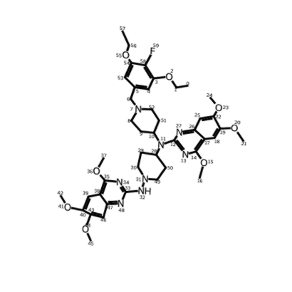 CCOc1cc(CN2CCC(N(c3nc(OC)c4cc(OC)c(OC)cc4n3)C3CCN(Nc4nc(OC)c5cc(OC)c(OC)cc5n4)CC3)CC2)cc(OCC)c1F